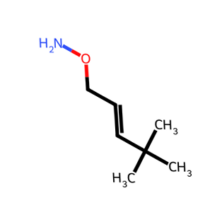 CC(C)(C)/C=C/CON